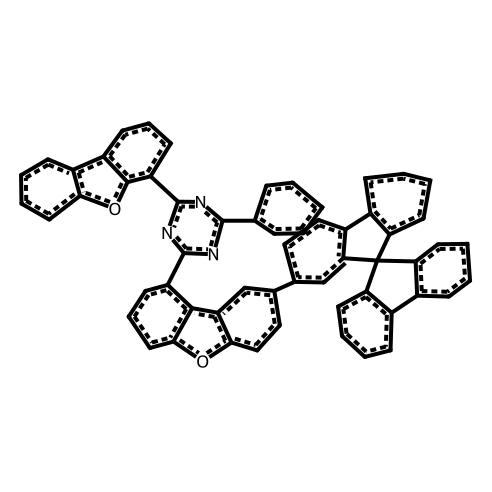 c1ccc(-c2nc(-c3cccc4c3oc3ccccc34)nc(-c3cccc4oc5ccc(-c6ccc7c(c6)C6(c8ccccc8-c8ccccc86)c6ccccc6-7)cc5c34)n2)cc1